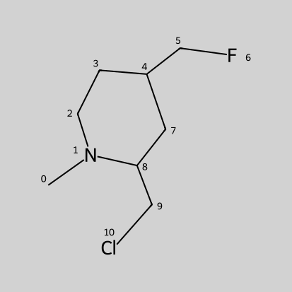 CN1CCC(CF)CC1CCl